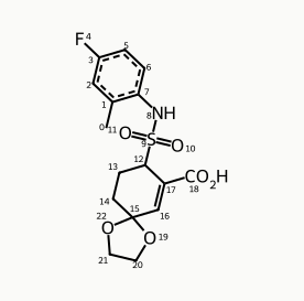 Cc1cc(F)ccc1NS(=O)(=O)C1CCC2(C=C1C(=O)O)OCCO2